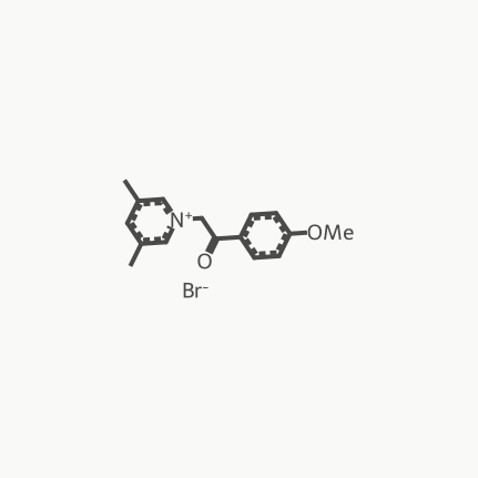 COc1ccc(C(=O)C[n+]2cc(C)cc(C)c2)cc1.[Br-]